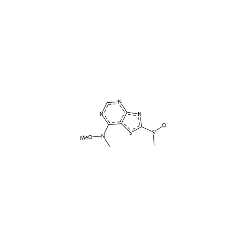 CON(C)c1ncnc2nc([S+](C)[O-])sc12